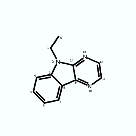 CCn1c2ccccc2c2nccnc21